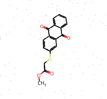 COC(=O)CSc1ccc2c(c1)C(=O)c1ccccc1C2=O